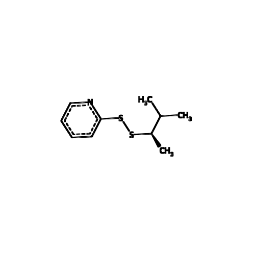 CC(C)[C@@H](C)SSc1ccccn1